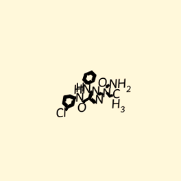 CCN(C(N)=O)c1ncc(C(=O)Nc2cccc(Cl)c2)c(Nc2ccccc2)n1